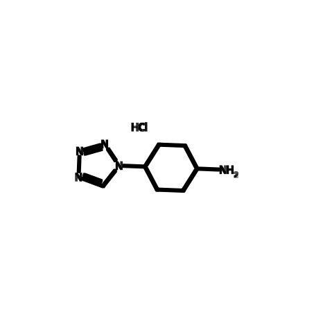 Cl.NC1CCC(n2cnnn2)CC1